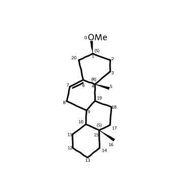 CO[C@H]1CC[C@@]2(C)C(=CCC3C4CCCC[C@@]4(C)CCC32)C1